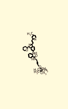 Cc1ccnc(C=Cc2nn(C3CCCCO3)c3cc(Nc4ccccc4C(=O)NCC#CCO[Si](C)(C)C(C)(C)C)ccc23)c1